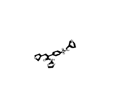 O=C(Nc1nccs1)C(CC1CCOCC1)c1ccc(S(=O)(=O)NCc2cccnc2)cc1